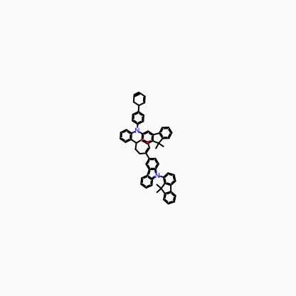 CC1(C)c2ccccc2-c2cc(N(c3ccc(C4C=CC#CC4)cc3)c3ccccc3C3C=CC=C(c4ccc5c(c4)c4ccccc4n5-c4cccc5c4C(C)(C)c4ccccc4-5)CC3)ccc21